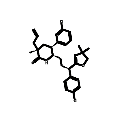 C=CC[C@@]1(C)C[C@H](c2cccc(Cl)c2)[C@H](CC[C@H](C2=NC(C)(C)CO2)c2ccc(Cl)cc2)NC1=O